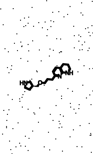 c1cc2c(nc1CCCOC[C@@H]1CCNC1)NCCC2